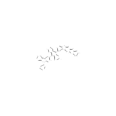 c1ccc(-n2c3ccccc3c3cc(-c4c5ccccc5c(-c5ccc6c(c5)-c5cc7cc8ccccc8cc7cc5C6)c5ccccc45)ccc32)cc1